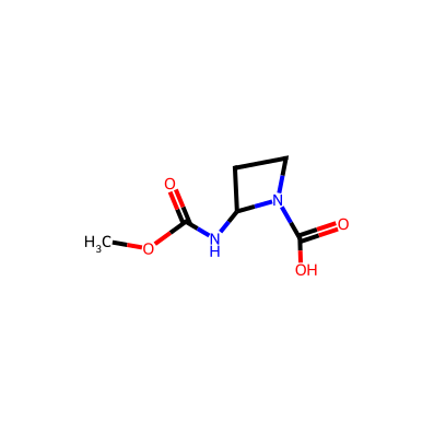 COC(=O)NC1CCN1C(=O)O